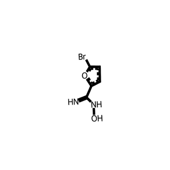 N=C(NO)c1ccc(Br)o1